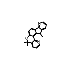 CC1c2cccnc2-c2ccc3c(c21)-c1ncccc1C(C)(C)O3